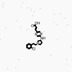 O=C(O)C=Cc1cnc(N[C@@H]2CCN(CCc3ccccc3Cl)C2)cn1